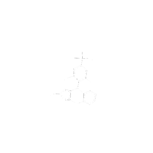 Cc1cc2c(s1)Oc1ccccc1N2c1c(C)cc(C(C)(C)C)cc1C